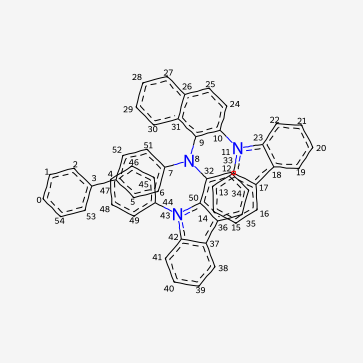 c1ccc(-c2ccc(N(c3c(-n4c5ccccc5c5ccccc54)ccc4ccccc34)c3cccc4c5ccccc5n(-c5ccccc5)c34)cc2)cc1